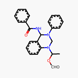 CC(OC=O)N1CN(c2ccccc2)C(NC(=O)c2ccccc2)c2ccccc21